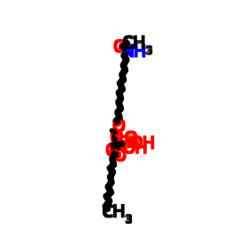 CCCCCCCCCCCCC(=O)O[C@@H](COCOCCCCCCCCCCCCCCCNC(C)=O)COP(=O)(O)O